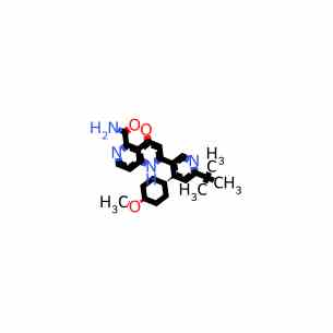 CO[C@H]1CC[C@H](c2cc(C(C)(C)C)ncc2-c2cc(=O)c3c(C(N)=O)nccc3[nH]2)CC1